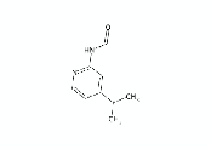 CC(C)c1ccnc(NC=O)c1